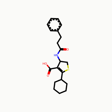 O=C(CCc1ccccc1)NC1CSC(C2CCCCC2)=C1C(=O)O